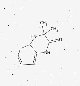 CC1(C)NC2CC=CC=C2NC1=O